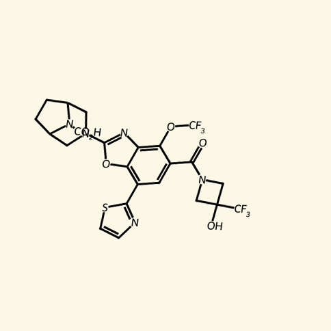 O=C(c1cc(-c2nccs2)c2oc(N3CC4CCC(C3)N4C(=O)O)nc2c1OC(F)(F)F)N1CC(O)(C(F)(F)F)C1